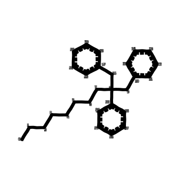 CCCCCCCCC(Cc1ccccc1)(Cc1ccccc1)c1[c]cccc1